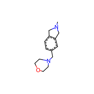 CN1Cc2ccc(CN3CCOCC3)cc2C1